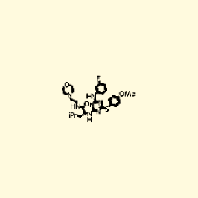 COc1ccc(Sc2nc(Nc3cccc(F)c3)nc(N[C@@H](CC(C)C)C(=O)NCCN3CCOCC3)n2)cc1